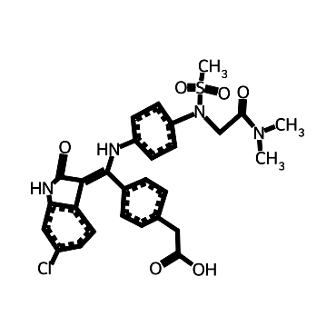 CN(C)C(=O)CN(c1ccc(N/C(=C2\C(=O)Nc3cc(Cl)ccc32)c2ccc(CC(=O)O)cc2)cc1)S(C)(=O)=O